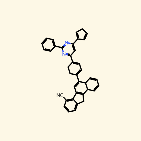 N#Cc1cccc2c1C1=C(C2)C2C=CC=CC2C(C2=CC=C(c3cc(C4=CCC=C4)nc(-c4ccccc4)n3)CC2)=C1